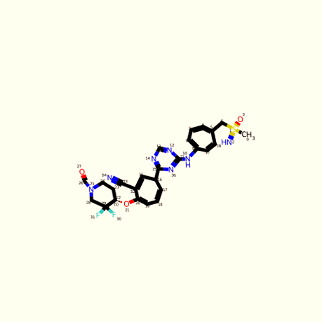 CS(=N)(=O)CC1=C=CC=C(Nc2ncnc(C3C=CC=C(O[C@H]4CCN(C=O)CC4(F)F)C(C#N)=C3)n2)C=C1